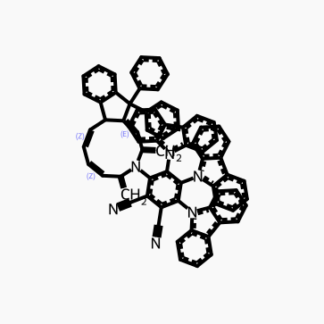 C=C1/C=C\C=C/C2/C(=C\C(=C)N1c1c(C#N)c(C#N)c(-n3c4ccccc4c4ccccc43)c(-n3c4ccccc4c4ccccc43)c1-n1c3ccccc3c3ccccc31)C(c1ccccc1)(c1ccccc1)c1ccccc12